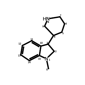 CN1CC(C2CCCNC2)c2ccccc21